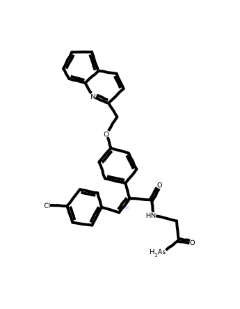 O=C([AsH2])CNC(=O)/C(=C/c1ccc(Cl)cc1)c1ccc(OCc2ccc3ccccc3n2)cc1